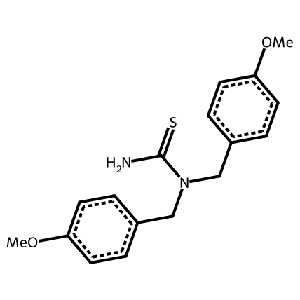 COc1ccc(CN(Cc2ccc(OC)cc2)C(N)=S)cc1